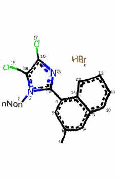 Br.CCCCCCCCCn1c(-c2cc(C)cc3ccccc23)nc(Cl)c1Cl